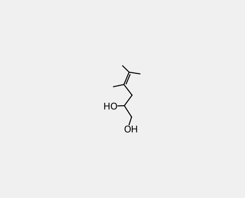 CC(C)=C(C)CC(O)CO